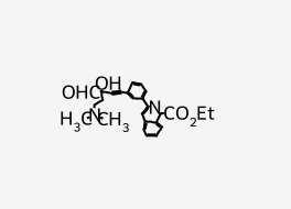 CCOC(=O)c1nc(-c2cccc(C#C[C@@](O)(C=O)CCN(C)C)c2)cc2ccccc12